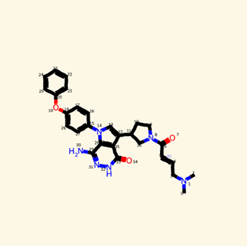 CN(C)C/C=C/C(=O)N1CCC(c2cn(-c3ccc(Oc4ccccc4)cc3)c3c(N)n[nH]c(=O)c23)C1